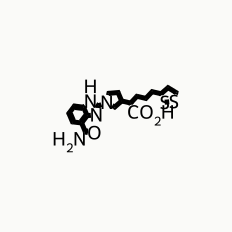 NC(=O)c1cccc2[nH]c(N3CCC(C(CCCC4CCSS4)C(=O)O)C3)nc12